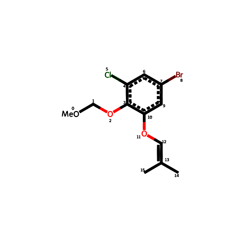 COCOc1c(Cl)cc(Br)cc1OC=C(C)C